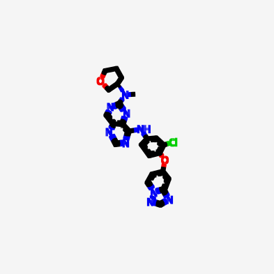 CN(c1ncc2ncnc(Nc3ccc(Oc4ccn5ncnc5c4)c(Cl)c3)c2n1)[C@@H]1CCCOC1